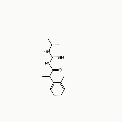 Cc1ccccc1C(C)C(=O)NC(=N)NC(C)C